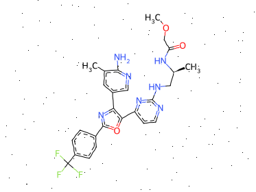 COCC(=O)N[C@@H](C)CNc1nccc(-c2oc(-c3ccc(C(F)(F)F)cc3)nc2-c2cnc(N)c(C)c2)n1